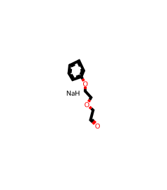 O=CCOCCOc1ccccc1.[NaH]